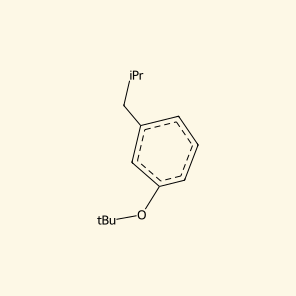 CC(C)Cc1cccc(OC(C)(C)C)c1